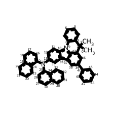 CC1(C)c2ccccc2-n2c3ccc(N(c4cccc5ccccc45)c4cccc5ccccc45)cc3c3cc(-c4ccccc4)cc1c32